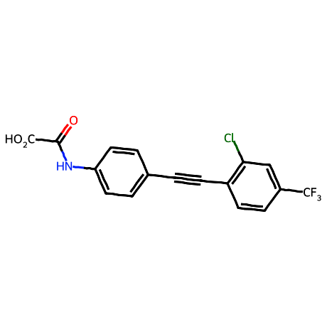 O=C(O)C(=O)Nc1ccc(C#Cc2ccc(C(F)(F)F)cc2Cl)cc1